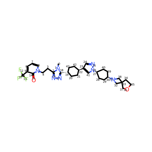 Cn1c(CCn2cccc(C(F)(F)F)c2=O)nnc1[C@H]1CC[C@H](c2cnn([C@H]3CC[C@H](N4CC5(CCOC5)C4)CC3)c2)CC1